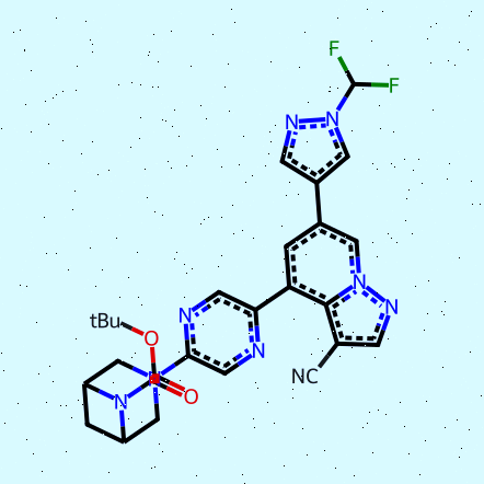 CC(C)(C)OC(=O)N1C2CC1CN(c1cnc(-c3cc(-c4cnn(C(F)F)c4)cn4ncc(C#N)c34)cn1)C2